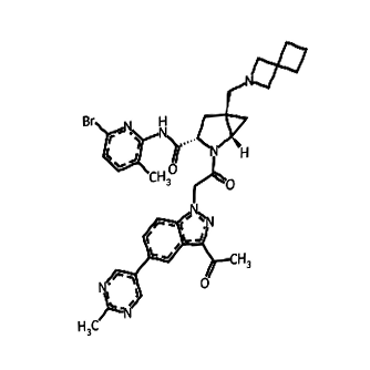 CC(=O)c1nn(CC(=O)N2[C@H]3C[C@@]3(CN3CC4(CCC4)C3)C[C@H]2C(=O)Nc2nc(Br)ccc2C)c2ccc(-c3cnc(C)nc3)cc12